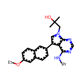 CCOc1ccc2cc(-c3cn(CC(C)(C)O)c4ncnc(NC(C)C)c34)ccc2c1